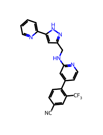 N#Cc1ccc(-c2ccnc(NCc3cc(-c4ccccn4)[nH]n3)c2)c(C(F)(F)F)c1